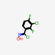 O/N=C(\Cl)c1ccc(F)c(Cl)c1F